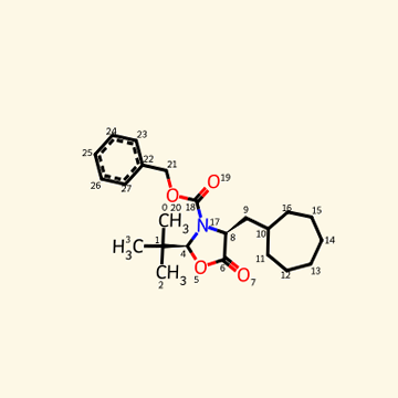 CC(C)(C)[C@@H]1OC(=O)[C@H](CC2CCCCCC2)N1C(=O)OCc1ccccc1